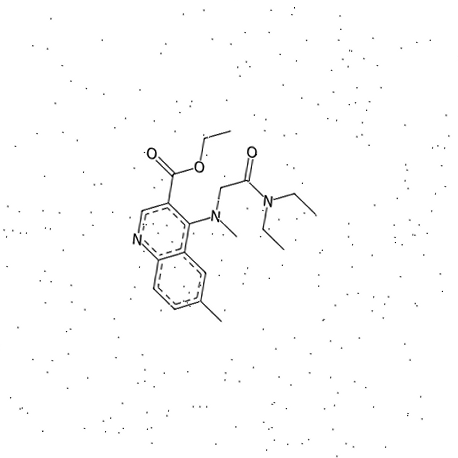 CCOC(=O)c1cnc2ccc(C)cc2c1N(C)CC(=O)N(CC)CC